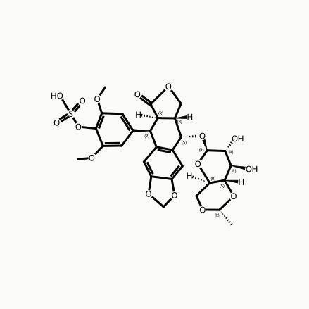 COc1cc([C@@H]2c3cc4c(cc3[C@@H](O[C@@H]3O[C@@H]5CO[C@@H](C)O[C@H]5[C@H](O)[C@H]3O)[C@H]3COC(=O)[C@H]23)OCO4)cc(OC)c1OS(=O)(=O)O